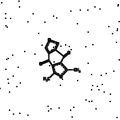 Cc1oc(C)c2c1C(=O)c1cocc1C2=O